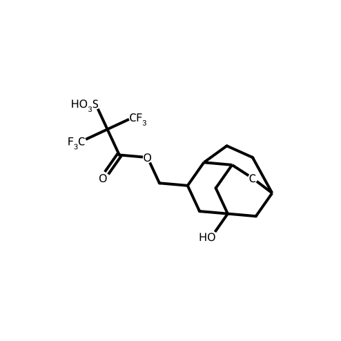 O=C(OCC1CC2(O)CC3CCC1C(C3)C2)C(C(F)(F)F)(C(F)(F)F)S(=O)(=O)O